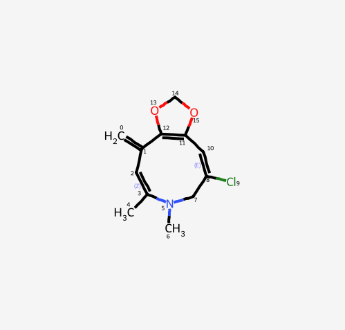 C=C1/C=C(/C)N(C)C/C(Cl)=C\C2=C1OCO2